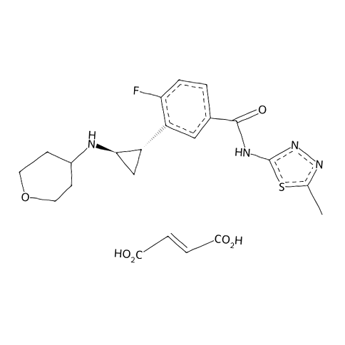 Cc1nnc(NC(=O)c2ccc(F)c([C@@H]3C[C@H]3NC3CCOCC3)c2)s1.O=C(O)/C=C/C(=O)O